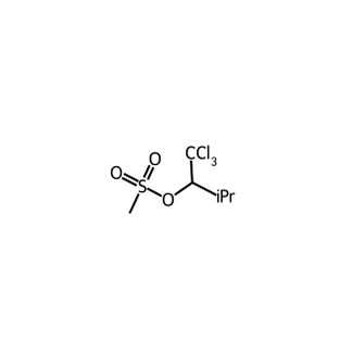 CC(C)C(OS(C)(=O)=O)C(Cl)(Cl)Cl